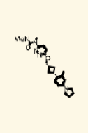 CNC(=O)N(C)c1ccc(OC[C@H]2C[C@@H](c3ccc(N4CCCC4)cc3C)C2)nn1